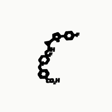 O=C(O)c1ccc(CN2CCC(F)(CNC3CC3c3ccc(-c4ccc(F)cc4)s3)CC2)cc1